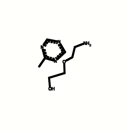 Cc1ncncn1.NCCOCCO